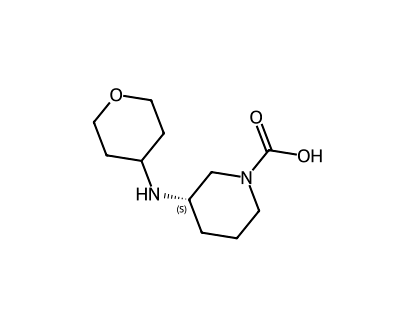 O=C(O)N1CCC[C@H](NC2CCOCC2)C1